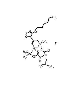 CCCCCCOc1nsnc1C1=CCC[N+](C)(COC(=O)[C@H](CC(C)C)NC(=O)OC(C)(C)C)C1.[I-]